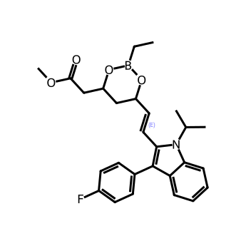 CCB1OC(/C=C/c2c(-c3ccc(F)cc3)c3ccccc3n2C(C)C)CC(CC(=O)OC)O1